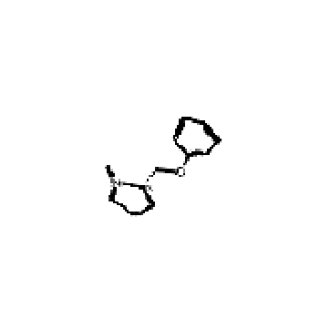 CN1CCC[C@H]1COc1cc[c]cc1